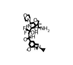 COc1cc(C(=O)NCC(O)(c2cc3c(c(N4CCOCC4)n2)OC[C@]3(C)C(N)=O)C(F)(F)F)cc2cn(C3CC3)nc12